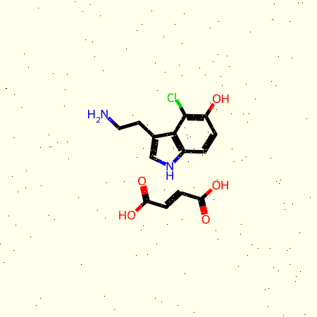 NCCc1c[nH]c2ccc(O)c(Cl)c12.O=C(O)C=CC(=O)O